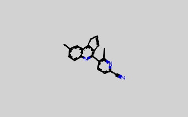 Cc1ccc2nc(-c3ccc(C#N)nc3C)c3c(c2c1)CC=C3